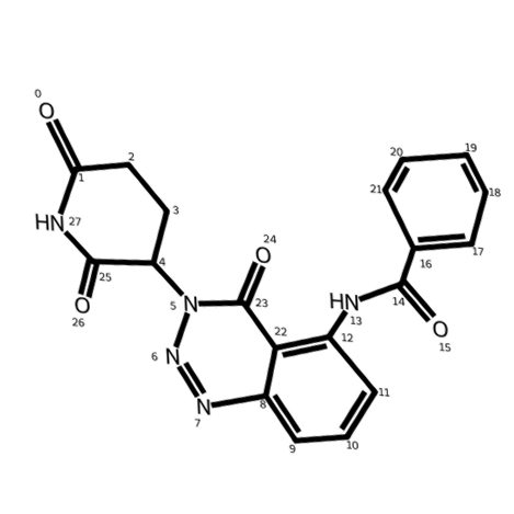 O=C1CCC(n2nnc3cccc(NC(=O)c4ccccc4)c3c2=O)C(=O)N1